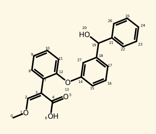 CO/C=C(\C(=O)O)c1ccccc1Oc1cccc(C(O)c2ccccc2)c1